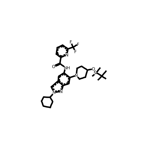 CC(C)(C)[Si](C)(C)OC1CCN(c2cc3nn(C4CCCCC4)cc3cc2NC(=O)c2cccc(C(F)(F)F)n2)CC1